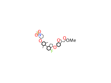 COC(=O)C[C@@H]1COc2cc(O[C@@H]3CCc4c(-c5c(C)cc(O[C@H]6CCCN(S(C)(=O)=O)C6)cc5C)ccc(F)c43)ccc21